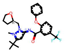 Cn1c(C(C)(C)C)c/c(=N\C(=O)c2cc(C(F)(F)F)ccc2Oc2ccccc2)n1C[C@H]1CCCO1